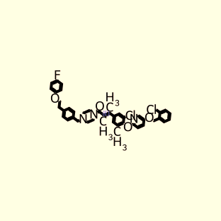 C/C(C(=O)N1CCN(Cc2ccc(CCOc3ccc(F)cc3)cc2)CC1)=C(/C)c1cc(C)c(Oc2ccc(OCc3ccccc3Cl)cn2)c(Cl)c1